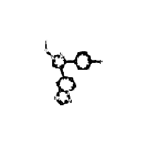 FSn1cc(-c2ccn3ncnc3c2)c(-c2ccc(F)cc2)n1